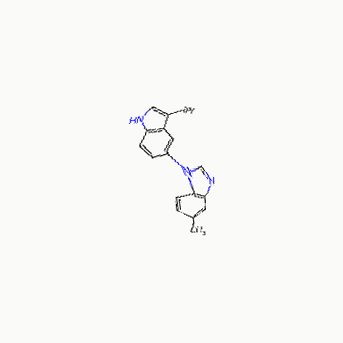 Cc1ccc2c(c1)ncn2-c1ccc2[nH]cc(C(C)C)c2c1